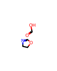 C1=NCCO1.O=CO